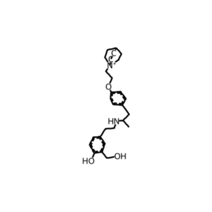 CC(Cc1ccc(OCC[N+]23CCC(CC2)CC3)cc1)NCCc1ccc(O)c(CO)c1